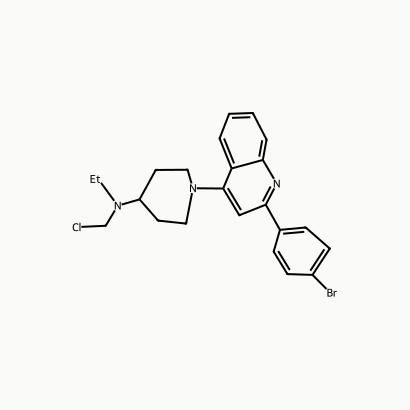 CCN(CCl)C1CCN(c2cc(-c3ccc(Br)cc3)nc3ccccc23)CC1